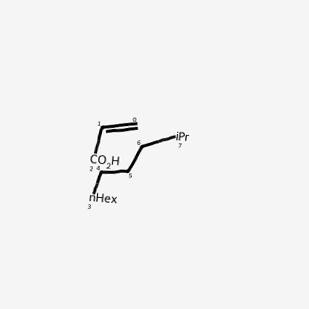 C=CC(=O)O.CCCCCCCCCC(C)C